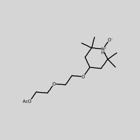 CC(=O)OCCOCCOC1CC(C)(C)[NH+]([O-])C(C)(C)C1